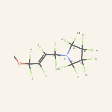 COC(F)(F)/C(F)=C(\F)C(F)(F)N1C(F)(F)C(F)(F)C(F)(F)C1(F)F